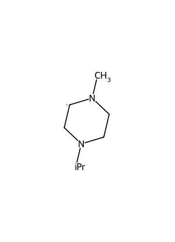 CC(C)N1C[CH]N(C)CC1